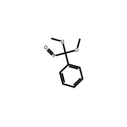 COC(OC)(P=O)c1cc[c]cc1